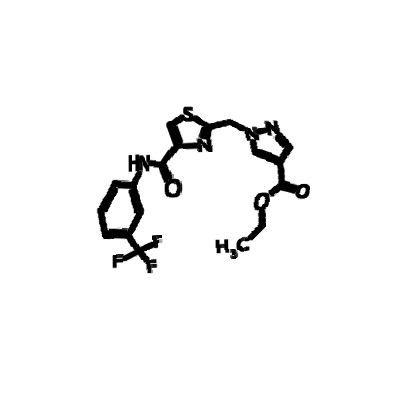 CCOC(=O)c1cnn(Cc2nc(C(=O)Nc3cccc(C(F)(F)F)c3)cs2)c1